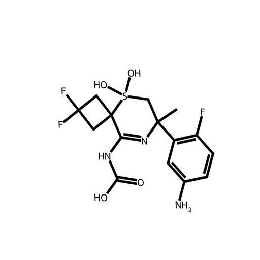 CC1(c2cc(N)ccc2F)CS(O)(O)C2(CC(F)(F)C2)C(NC(=O)O)=N1